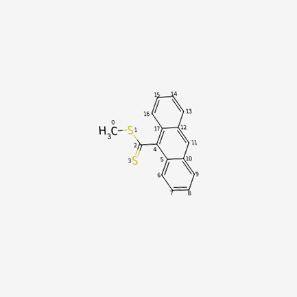 CSC(=S)c1c2ccccc2cc2ccccc12